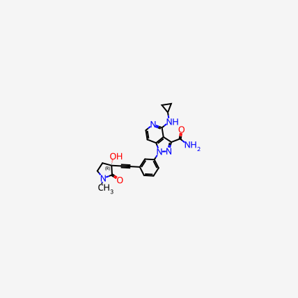 CN1CC[C@@](O)(C#Cc2cccc(-n3nc(C(N)=O)c4c(NC5CC5)nccc43)c2)C1=O